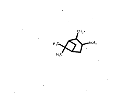 CC1C([AsH2])CC2CC1C2(C)C